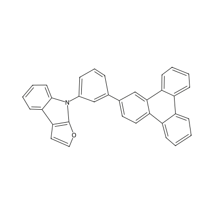 c1cc(-c2ccc3c4ccccc4c4ccccc4c3c2)cc(-n2c3ccccc3c3ccoc32)c1